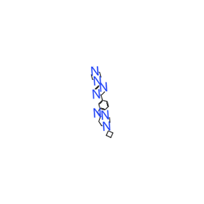 CN1CCN(c2cnc(-c3ccc4c(c3)nc3n4CCN(C4CCC4)CC3)cn2)CC1